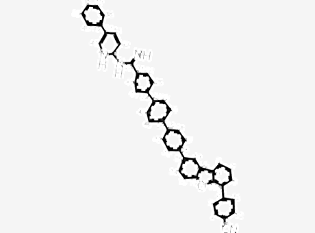 N#Cc1ccc(-c2cccc3c2oc2ccc(-c4ccc(-c5ccc(-c6ccc(C(=N)NC7C=CC(c8ccccc8)=CN7)cc6)cc5)cc4)cc23)cc1